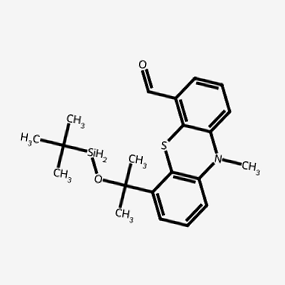 CN1c2cccc(C=O)c2Sc2c1cccc2C(C)(C)O[SiH2]C(C)(C)C